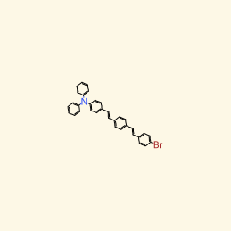 Brc1ccc(/C=C/c2ccc(/C=C/c3ccc(N(c4ccccc4)c4ccccc4)cc3)cc2)cc1